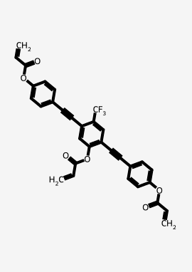 C=CC(=O)Oc1ccc(C#Cc2cc(C(F)(F)F)c(C#Cc3ccc(OC(=O)C=C)cc3)cc2OC(=O)C=C)cc1